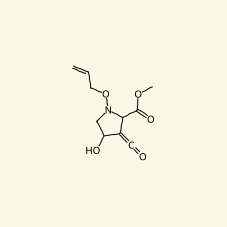 C=CCON1CC(O)C(=C=O)C1C(=O)OC